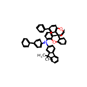 CC1(C)c2ccccc2-c2ccc(N(c3ccc(-c4ccccc4)cc3)c3cccc4c3Oc3ccccc3C43c4ccccc4Oc4ccc(-c5ccccc5)cc43)cc21